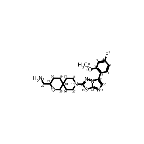 COc1cc(F)ccc1-c1cnc2sc(N3CCC4(CCC(CN)OC4)CC3)nn12